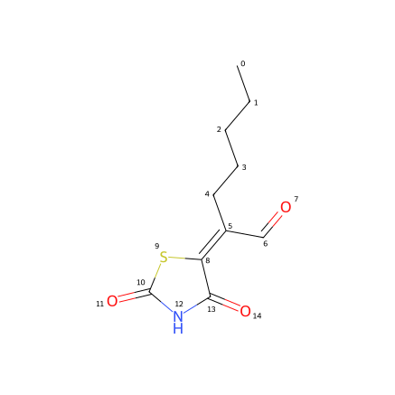 CCCCCC(C=O)=C1SC(=O)NC1=O